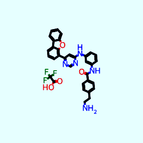 NCCc1ccc(C(=O)Nc2cccc(Nc3cc(-c4cccc5c4oc4ccccc45)ncn3)c2)cc1.O=C(O)C(F)(F)F